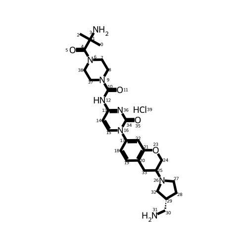 CC(C)(N)C(=O)N1CCN(C(=O)Nc2ccn(-c3ccc4c(c3)OCC(N3CC[C@H](CN)C3)C4)c(=O)n2)CC1.Cl